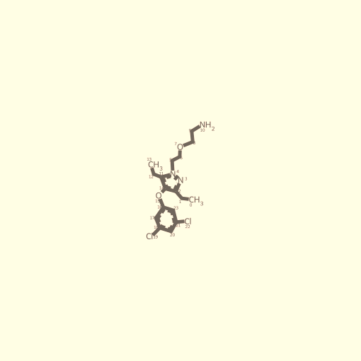 CCc1nn(CCOCCN)c(CC)c1Oc1cc(Cl)cc(Cl)c1